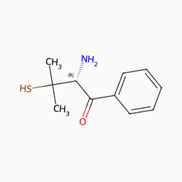 CC(C)(S)[C@H](N)C(=O)c1ccccc1